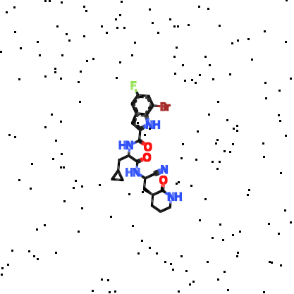 N#CC(C[C@@H]1CCCNC1=O)NC(=O)C(CC1CC1)NC(=O)c1cc2cc(F)cc(Br)c2[nH]1